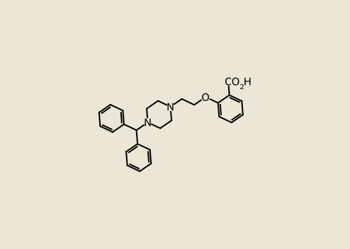 O=C(O)c1ccccc1OCCN1CCN(C(c2ccccc2)c2ccccc2)CC1